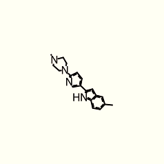 Cc1ccc2[nH]c(-c3ccc(N4CCN(C)CC4)nc3)cc2c1